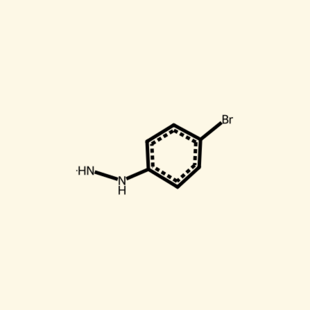 [NH]Nc1ccc(Br)cc1